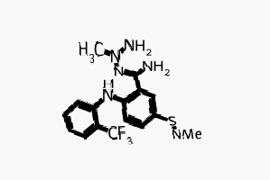 CNSc1ccc(Nc2ccccc2C(F)(F)F)c(/C(N)=N/N(C)N)c1